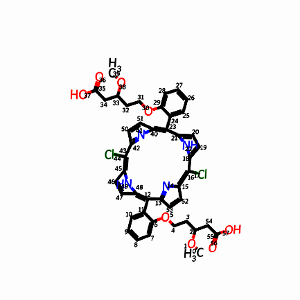 COC(CCOc1ccccc1-c1c2nc(c(Cl)c3ccc([nH]3)c(-c3ccccc3OCCC(CC(=O)O)OC)c3nc(c(Cl)c4ccc1[nH]4)C=C3)C=C2)CC(=O)O